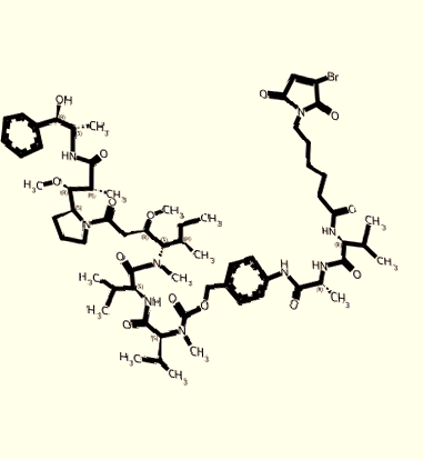 CC[C@@H](C)[C@@H]([C@@H](CC(=O)N1CCC[C@H]1[C@H](OC)[C@@H](C)C(=O)N[C@@H](C)[C@H](O)c1ccccc1)OC)N(C)C(=O)[C@@H](NC(=O)[C@H](C(C)C)N(C)C(=O)OCc1ccc(NC(=O)[C@@H](C)NC(=O)[C@H](NC(=O)CCCCCN2C(=O)C=C(Br)C2=O)C(C)C)cc1)C(C)C